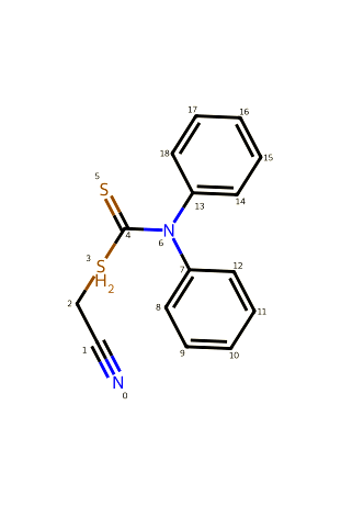 N#CC[SH2]C(=S)N(c1ccccc1)c1ccccc1